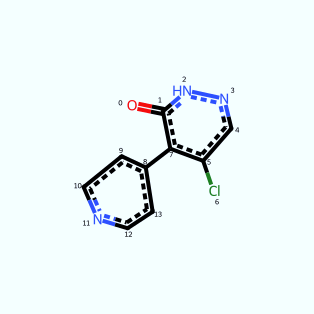 O=c1[nH]ncc(Cl)c1-c1ccncc1